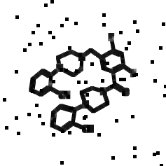 N#Cc1ccccc1N1CCN(Cc2cc(C(=O)N3CCN(c4ccccc4C#N)CC3)c(F)cc2F)CC1